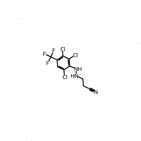 N#CCCNNc1c(Cl)cc(C(F)(F)F)c(Cl)c1Cl